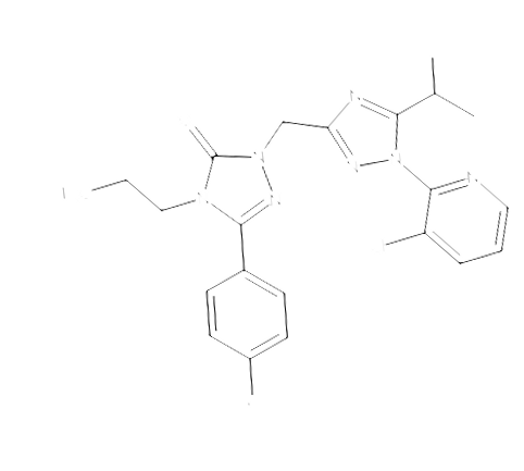 CC(F)c1nc(Cn2nc(-c3ccc(Cl)cc3)n(CCC(F)(F)F)c2=O)nn1-c1ncccc1Cl